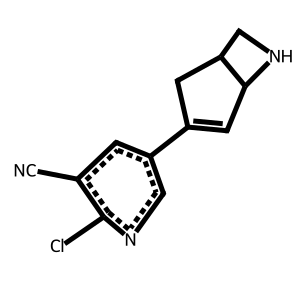 N#Cc1cc(C2=CC3NCC3C2)cnc1Cl